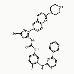 Cc1ccc(NC(=O)Nc2cc(C(C)(C)C)nn2-c2ccc3nc(N4CCNCC4)ccc3c2)cc1Nc1nccc(-c2ccccc2)n1